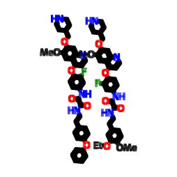 CCOc1cc(CCNC(=O)C(=O)Nc2ccc(Oc3ccnc4cc(OCC5CCNCC5)c(OC)cc34)c(F)c2)ccc1OC.COc1cc2c(Oc3ccc(NC(=O)C(=O)NCCc4ccc(Oc5ccccc5)cc4)cc3F)ccnc2cc1OCC1CCNCC1